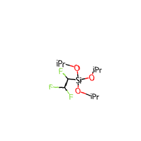 CC(C)O[Si](OC(C)C)(OC(C)C)C(F)C(F)F